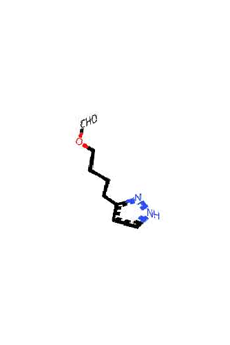 O=COCCCCc1cc[nH]n1